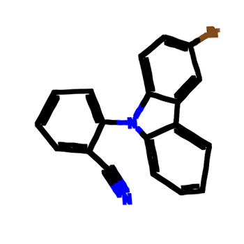 N#Cc1ccccc1-n1c2ccccc2c2cc(Br)ccc21